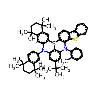 Cc1ccccc1N1c2cc(C(C)(C)C)cc3c2B(c2cc4c(cc2N3c2ccc3c(c2)C(C)(C)CCC3(C)C)C(C)(C)CCC4(C)C)c2ccc3c(sc4ccccc43)c21